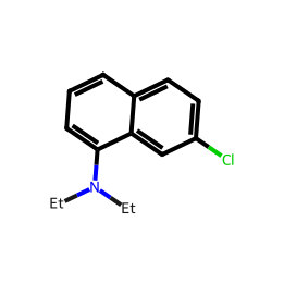 CCN(CC)c1cc[c]c2ccc(Cl)cc12